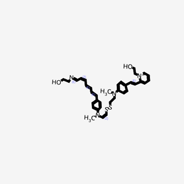 CN(/C=C\SSCCN(C)c1ccc(/C=C/c2cccc[n+]2CCO)cc1)c1ccc(/C=C/C=C/C=C\C=N\CCO)cc1